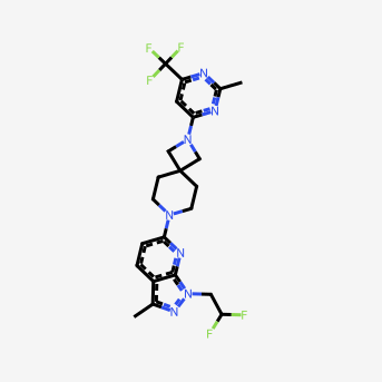 Cc1nc(N2CC3(CCN(c4ccc5c(C)nn(CC(F)F)c5n4)CC3)C2)cc(C(F)(F)F)n1